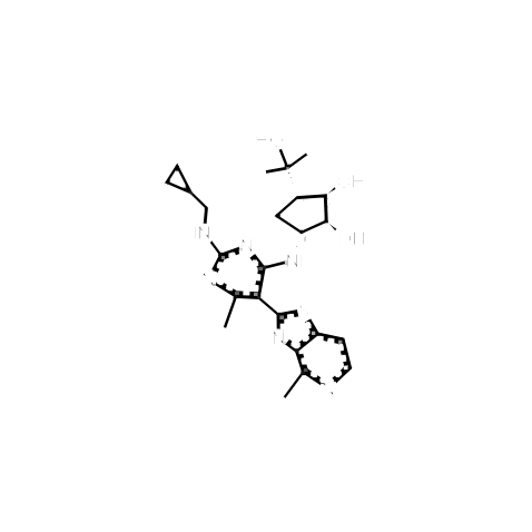 Cc1nc(NCC2CC2)nc(N[C@@H]2C[C@H](C(C)(C)O)[C@@H](O)[C@H]2O)c1-c1nc2c(C)nccc2s1